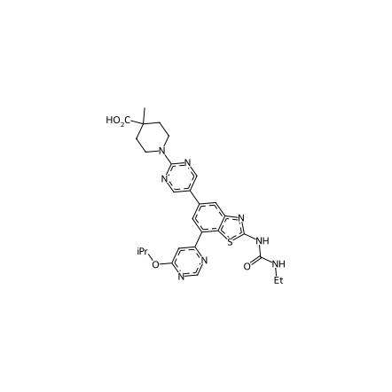 CCNC(=O)Nc1nc2cc(-c3cnc(N4CCC(C)(C(=O)O)CC4)nc3)cc(-c3cc(OC(C)C)ncn3)c2s1